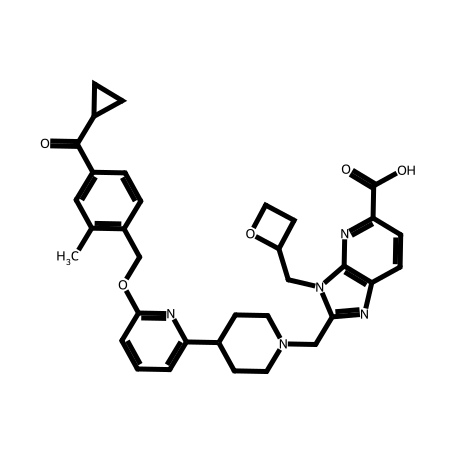 Cc1cc(C(=O)C2CC2)ccc1COc1cccc(C2CCN(Cc3nc4ccc(C(=O)O)nc4n3CC3CCO3)CC2)n1